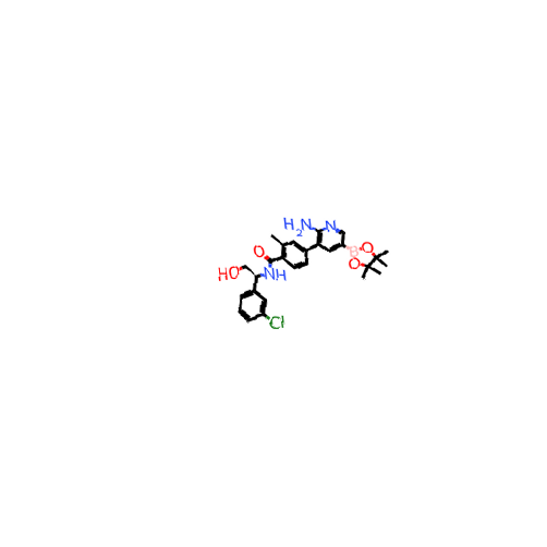 Cc1cc(-c2cc(B3OC(C)(C)C(C)(C)O3)cnc2N)ccc1C(=O)N[C@H](CO)c1cccc(Cl)c1